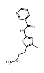 Cc1nc(NC(=O)c2cccnc2)sc1CCO[N+](=O)[O-]